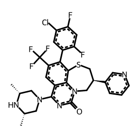 C[C@@H]1CN(c2nc(=O)n3c4c(c(-c5cc(Cl)c(F)cc5F)c(C(F)(F)F)cc24)SC[C@@H](c2cccnc2)C3)C[C@H](C)N1